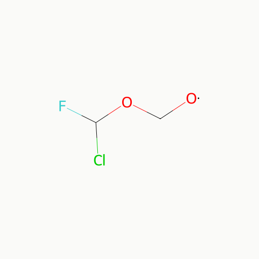 [O]COC(F)Cl